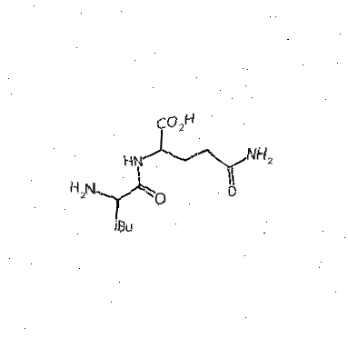 CCC(C)C(N)C(=O)NC(CCC(N)=O)C(=O)O